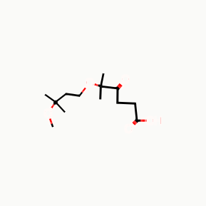 COC(C)(C)CCOC(C)(C)C(=O)CCC(=O)O